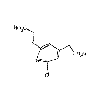 O=C(O)CSc1cc(CC(=O)O)cc(Cl)n1